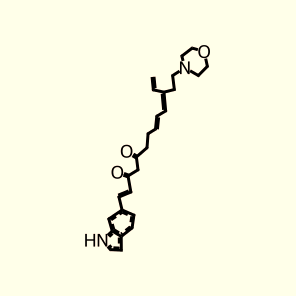 C=C/C(=C\C=C\CCC(=O)CC(=O)/C=C/c1ccc2cc[nH]c2c1)CCN1CCOCC1